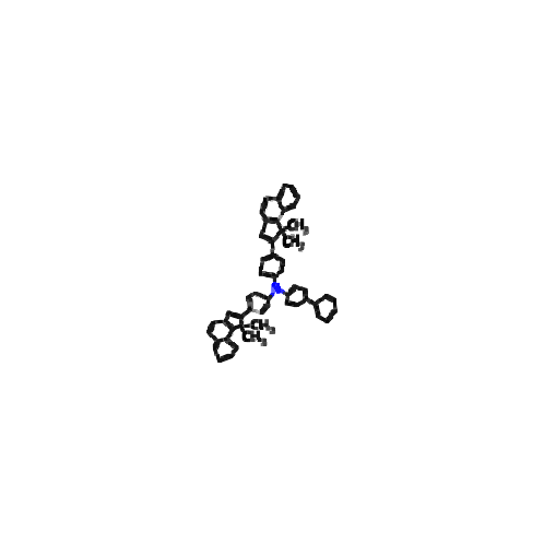 CC1(C)C(c2ccc(N(c3ccc(C4=Cc5ccc6ccccc6c5C4(C)C)cc3)c3ccc(-c4ccccc4)cc3)cc2)=Cc2ccc3ccccc3c21